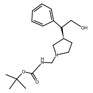 CC(C)(C)OC(=O)NCN1CC[C@H](C(CO)c2ccccc2)C1